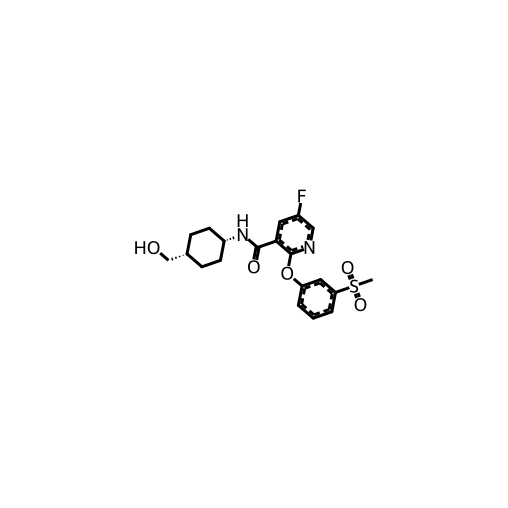 CS(=O)(=O)c1cccc(Oc2ncc(F)cc2C(=O)N[C@H]2CC[C@@H](CO)CC2)c1